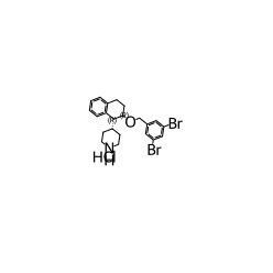 Brc1cc(Br)cc(CO[C@@H]2CCc3ccccc3[C@H]2C2CCNCC2)c1.Cl